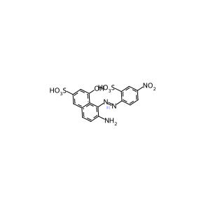 Nc1ccc2cc(S(=O)(=O)O)cc(O)c2c1/N=N/c1ccc([N+](=O)[O-])cc1S(=O)(=O)O